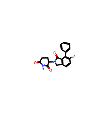 O=C1CCC(N2Cc3ccc(Br)c(-c4ccccc4)c3C2=O)C(=O)N1